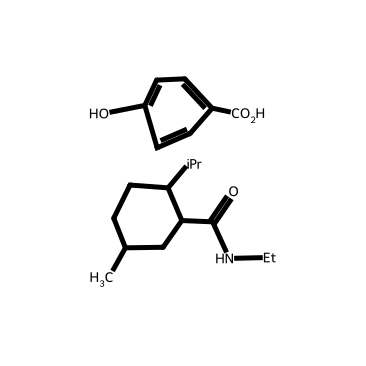 CCNC(=O)C1CC(C)CCC1C(C)C.O=C(O)c1ccc(O)cc1